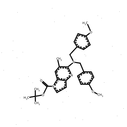 COc1ccc(CN(Cc2ccc(OC)cc2)c2nc3ccn(C(=O)OC(C)(C)C)c3cc2C)cc1